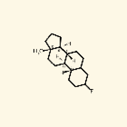 C[C@@]12CCC[C@H]1[C@@H]1CCC3CC(F)CC[C@@H]3[C@H]1CC2